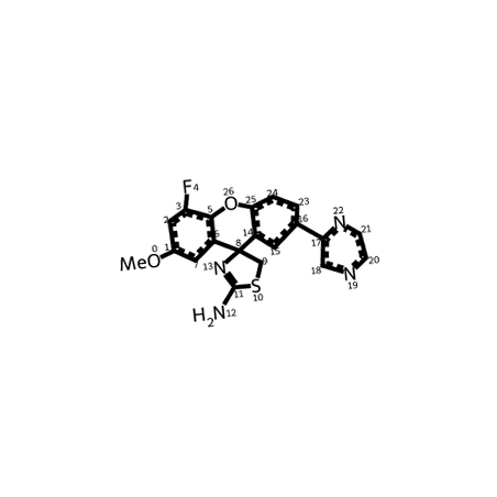 COc1cc(F)c2c(c1)C1(CSC(N)=N1)c1cc(-c3cnccn3)ccc1O2